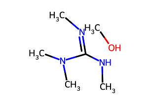 CN=C(NC)N(C)C.CO